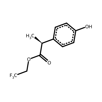 C[C@H](C(=O)OCC(F)(F)F)c1ccc(O)cc1